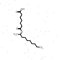 CCCCCCCCC(C)OC(=O)CCCCCC(=O)O